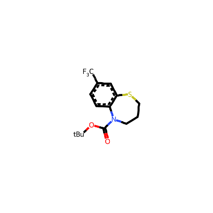 CC(C)(C)OC(=O)N1CCCSc2cc(C(F)(F)F)ccc21